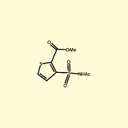 COC(=O)c1sccc1S(=O)(=O)NC(C)=O